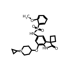 COc1ccccc1S(=O)(=O)Nc1cc(OC2CCN(C3CC3)CC2)c2c(c1)C1(CCC1)C(=O)N2